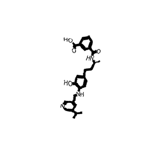 CC(C)c1cncc(CNc2ccc(CC[C@H](C)NC(=O)c3cccc(C(=O)O)c3)cc2O)c1